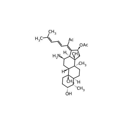 CC(=O)O[C@H]1C[C@@]2(C)[C@H](/C1=C(\C=C\C=C(C)C)C(C)=O)[C@H](N)C[C@H]1[C@@]3(C)CC[C@@H](O)[C@@H](C)[C@@H]3CC[C@@]12C